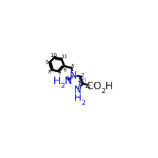 N/C(=C\N(N)Cc1ccccc1)C(=O)O